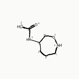 O=C(O)NC1CCCNOC1